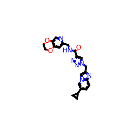 O=C(NCc1cc2c(cn1)OCCO2)c1cn(Cc2cn3cc(C4CC4)ccc3n2)nn1